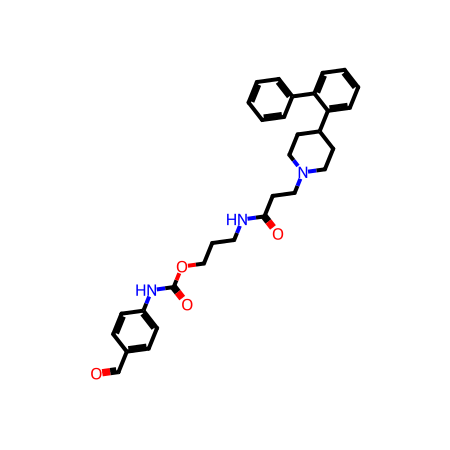 O=Cc1ccc(NC(=O)OCCCNC(=O)CCN2CCC(c3ccccc3-c3ccccc3)CC2)cc1